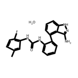 Cc1ccc(F)c(NC(=O)Nc2ccccc2-c2cccc3[nH]nc(N)c23)c1.O